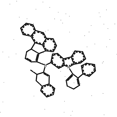 CC1Cc2ccccc2C=C1N(C1=C2c3cccc4cc5ccccc5c(c34)C2CC=C1)c1ccc2c3ccccc3n(C3=CCCC=C3c3ccccc3)c2c1